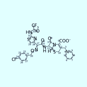 O=C([O-])C1=C(C[n+]2ccccc2)CS[C@H]2C(NC(=O)C(=NOCc3ccc(Cl)cc3)c3csc(NC(=O)C(F)(F)F)n3)C(=O)N12